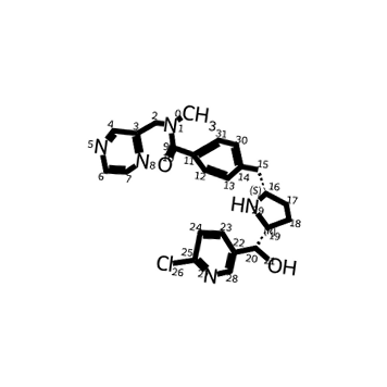 CN(Cc1cnccn1)C(=O)c1ccc(C[C@@H]2CC[C@H](C(O)c3ccc(Cl)nc3)N2)cc1